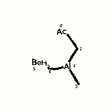 CC(=O)[CH2][Al]([CH3])[CH3].[BeH2]